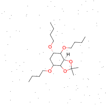 CCCCOC1C[C@H](OCCCC)C(OCCCC)[C@H]2OC(C)(C)OC12